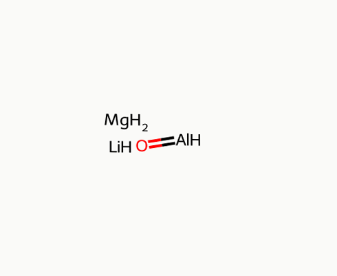 [LiH].[MgH2].[O]=[AlH]